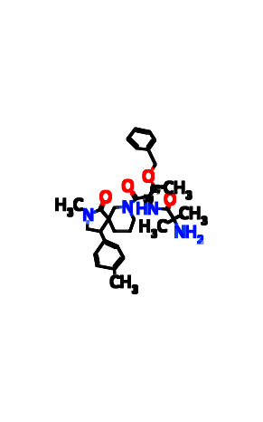 Cc1ccc(C2CN(C)C(=O)C23CCCN(C(=O)[C@H](NC(=O)C(C)(C)N)[C@H](C)OCc2ccccc2)C3)cc1